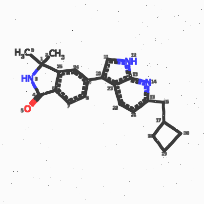 CC1(C)NC(=O)c2ccc(-c3c[nH]c4nc(CC5CCC5)ccc34)cc21